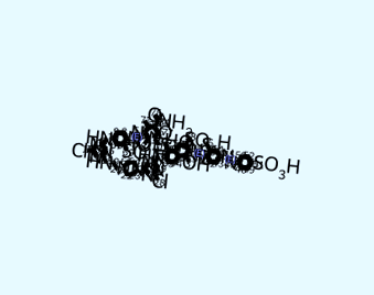 CCn1c(O)c(/N=N/c2ccc(Nc3nc(Cl)nc(NCCN4CCN(c5nc(Cl)nc(Nc6ccc7c(O)c(/N=N/c8ccc(/N=N/c9ccc(S(=O)(=O)O)cc9)cc8S(=O)(=O)O)c(S(=O)(=O)O)cc7c6S(=O)(=O)O)n5)CC4)n3)cc2S(=O)(=O)O)c(C)c(C(N)=O)c1=O